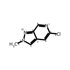 Cn1cc2cc(Cl)ncc2n1